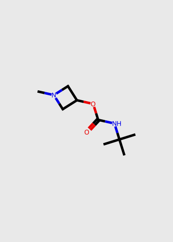 CN1CC(OC(=O)NC(C)(C)C)C1